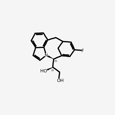 OC[C@@H](O)[C@@H]1C2=CC(F)=CC(C2)Cc2cccc3ccn1c23